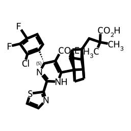 CCOC(=O)C1=C(C23C4C5C2C2C3C4C52CC(C)(C)C(=O)O)NC(c2nccs2)=N[C@@H]1c1ccc(F)c(F)c1Cl